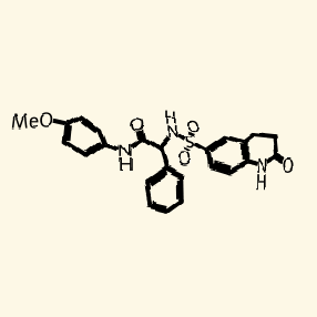 COc1ccc(NC(=O)C(NS(=O)(=O)c2ccc3c(c2)CCC(=O)N3)c2ccccc2)cc1